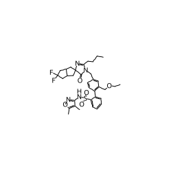 CCCCC1=NC2(CC3CC(F)(F)CC3C2)C(=O)N1Cc1ccc(-c2ccccc2S(=O)(=O)Nc2noc(C)c2C)c(COCC)c1